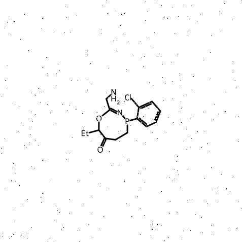 CCC1O/C(CN)=N\P(c2ccccc2Cl)CCC1=O